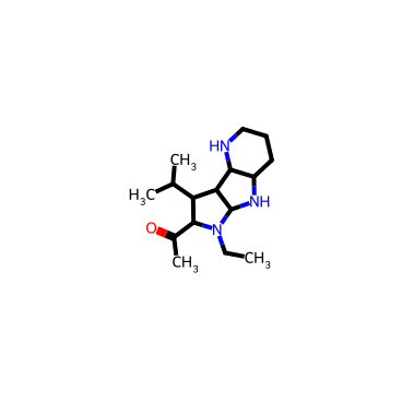 CCN1C2NC3CCCNC3C2C(C(C)C)C1C(C)=O